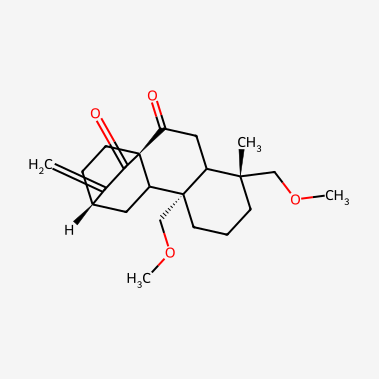 C=C1C(=O)[C@]23CC[C@H]1CC2[C@]1(COC)CCC[C@@](C)(COC)C1CC3=O